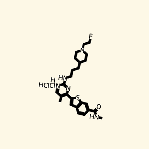 CNC(=O)c1ccc2cc(-c3nc(NCCCC4CCN(CCF)CC4)ncc3C)sc2c1.Cl.Cl